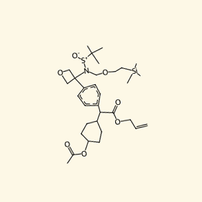 C=CCOC(=O)C(c1ccc(C2(N(COCC[Si](C)(C)C)[S+]([O-])C(C)(C)C)COC2)cc1)C1CCC(OC(C)=O)CC1